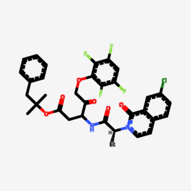 CC[C@@H](C(=O)NC(CC(=O)OC(C)(C)Cc1ccccc1)C(=O)COc1c(F)c(F)cc(F)c1F)n1ccc2ccc(Cl)cc2c1=O